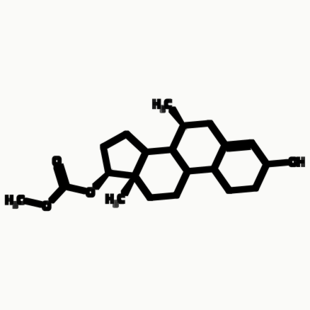 COC(=O)O[C@H]1CCC2C3C(CC[C@@]21C)C1CCC(O)C=C1C[C@@H]3C